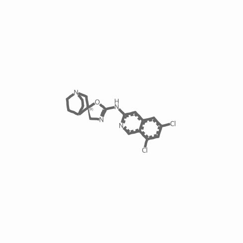 Clc1cc(Cl)c2cnc(NC3=NC[C@@]4(CN5CCC4CC5)O3)cc2c1